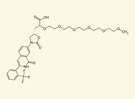 COCCOCCOCCOCCOCCOC(C[C@H]1CN(c2ccc3cc(-c4ccccc4C(F)(F)F)[nH]c(=O)c3c2)C(=O)O1)C(=O)O